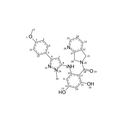 COc1ccc(-c2cc(Nc3cc(O)cc(O)c3C(=O)N3Cc4cccnc4C3)n(C)n2)cc1